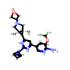 Nc1ncc(-c2cc(C3[C@H]4CN(C5COC5)C[C@@H]34)nc(N3CC4CC3C4)n2)cc1OC(F)F